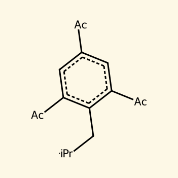 C[C](C)Cc1c(C(C)=O)cc(C(C)=O)cc1C(C)=O